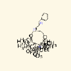 CC[C@H]1OC(=O)[C@@](C)(F)C(=O)[C@H](C)[C@@H](C)[C@@]2(C)C[C@@H](C)/C(=N\C(C)=O)[C@H](C)[C@@H](OCC/C(=C\C=C\c3ccccc3)CO2)[C@]1(C)O